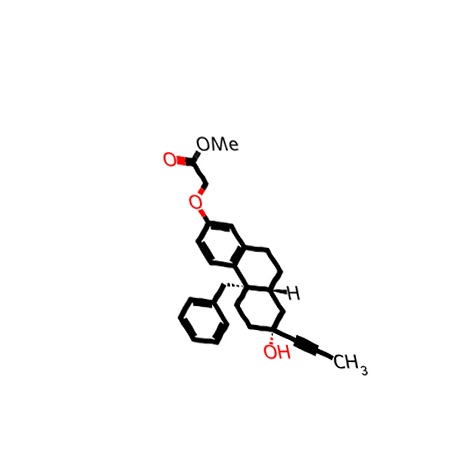 CC#C[C@@]1(O)CC[C@@]2(Cc3ccccc3)c3ccc(OCC(=O)OC)cc3CC[C@@H]2C1